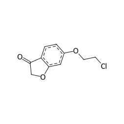 O=C1COc2cc(OCCCl)ccc21